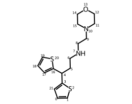 c1csc(C(CCNCCN2CCOCC2)c2cccs2)c1